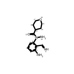 N=Cc1c(N)cccc1N(N)C(=O)C1CCOCC1